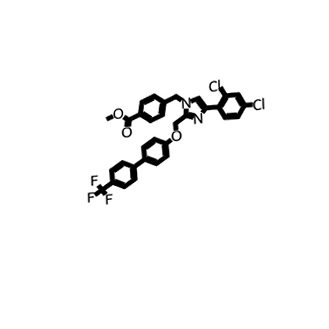 COC(=O)c1ccc(Cn2cc(-c3ccc(Cl)cc3Cl)nc2COc2ccc(-c3ccc(C(F)(F)F)cc3)cc2)cc1